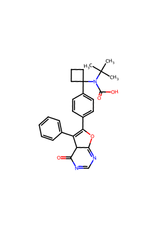 CC(C)(C)N(C(=O)O)C1(c2ccc(C3=C(c4ccccc4)C4C(=O)N=CN=C4O3)cc2)CCC1